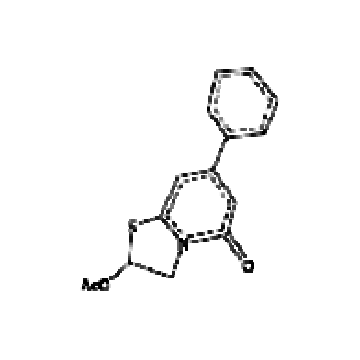 CC(=O)OC1Cn2c(cc(-c3ccccc3)cc2=O)S1